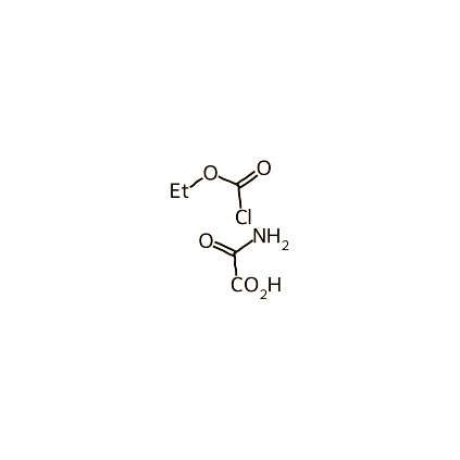 CCOC(=O)Cl.NC(=O)C(=O)O